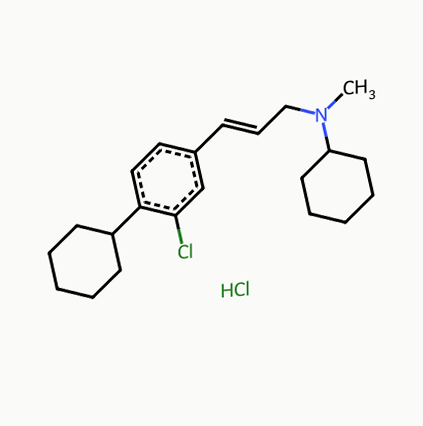 CN(CC=Cc1ccc(C2CCCCC2)c(Cl)c1)C1CCCCC1.Cl